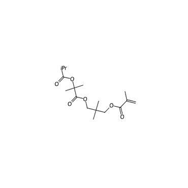 C=C(C)C(=O)OCC(C)(C)COC(=O)C(C)(C)OC(=O)C(C)C